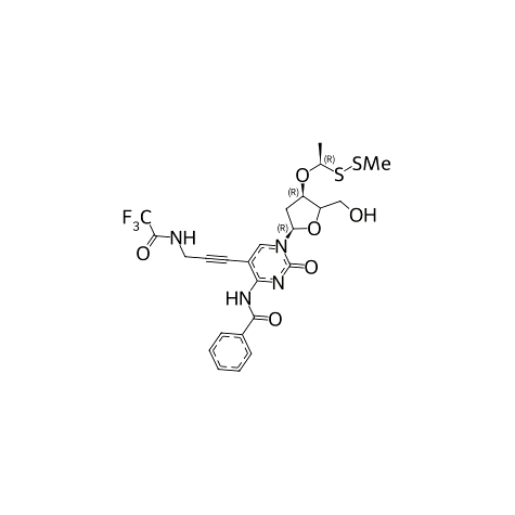 CSS[C@H](C)O[C@@H]1C[C@H](n2cc(C#CCNC(=O)C(F)(F)F)c(NC(=O)c3ccccc3)nc2=O)OC1CO